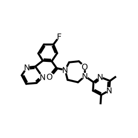 Cc1cc(N2CCN(C(=O)c3cc(F)ccc3-c3ncccn3)CCO2)nc(C)n1